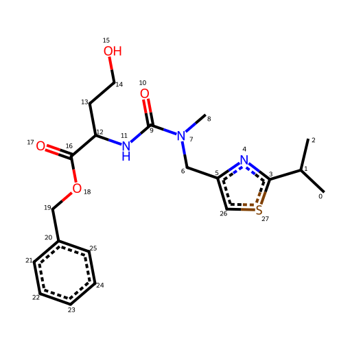 CC(C)c1nc(CN(C)C(=O)NC(CCO)C(=O)OCc2ccccc2)cs1